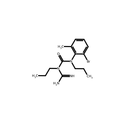 CCCN(C(=N)N)C(=O)N(CCC)c1c(C)cccc1Br